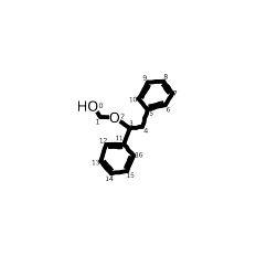 OCOC(Cc1ccccc1)c1ccccc1